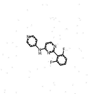 Fc1cccc(F)c1-c1nccc(Nc2ccncc2)n1